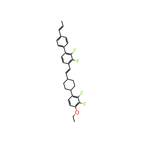 C/C=C/c1ccc(-c2ccc(/C=C/C3CCC(c4ccc(OCC)c(F)c4F)CC3)c(F)c2F)cc1